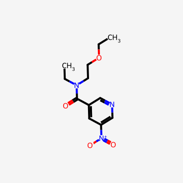 CCOCCN(CC)C(=O)c1cncc([N+](=O)[O-])c1